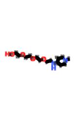 CN1CCC(NCCOCCOCCOCCO)CC1